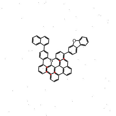 c1ccc(-c2ccc(-c3cccc4ccccc34)cc2N(c2ccc(-c3ccc4c(c3)oc3ccccc34)cc2)c2ccccc2-c2cccc3cccc(-c4ccccc4)c23)cc1